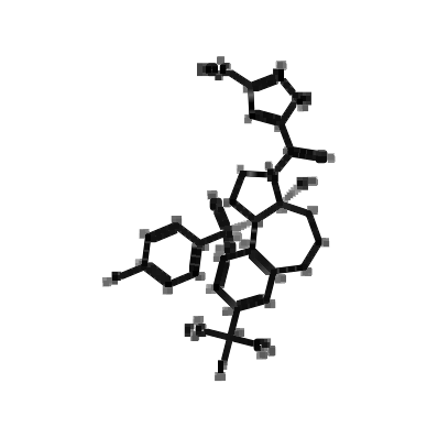 O=C(O)c1cc(C(=O)N2CC[C@]3(S(=O)(=O)c4ccc(F)cc4)c4ccc(C(F)(C(F)(F)F)C(F)(F)F)cc4CCC[C@H]23)[nH]n1